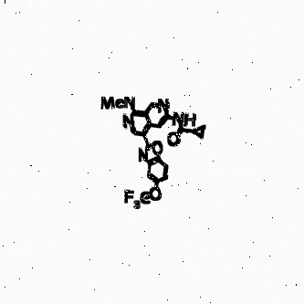 CNc1ncc(-c2nc3cc(OC(F)(F)F)ccc3o2)c2cc(NC(=O)C3CC3)ncc12